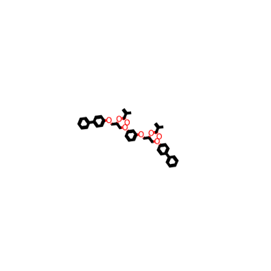 C=C(C)C(=O)OC(COc1ccc(-c2ccccc2)cc1)COc1cccc(OCC(COc2ccc(-c3ccccc3)cc2)OC(=O)C(=C)C)c1